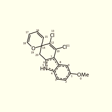 COc1ccc2[nH]c3c(c2c1)C(Cl)=C(Cl)C1(C=CC=CO1)C3